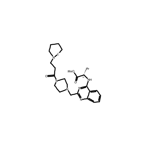 COC(=O)[C@@H](Nc1nc(CN2CCN(C(=O)CCN3CCCCC3)CC2)nc2ccccc12)C(C)C